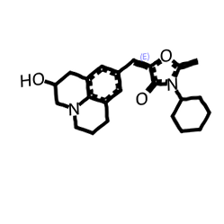 C=c1o/c(=C/c2cc3c4c(c2)CC(O)CN4CCC3)c(=O)n1C1CCCCC1